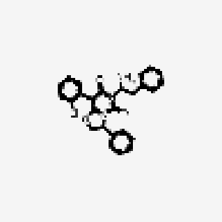 NC(Cc1ccccc1)n1c(=O)c(-c2ccccc2Cl)c2n(c1=O)C(c1ccccc1)CO2